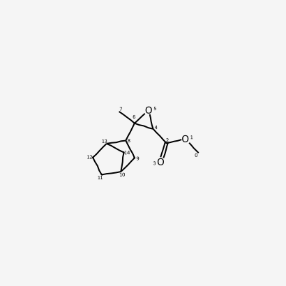 COC(=O)C1OC1(C)C1CC2CCC1C2